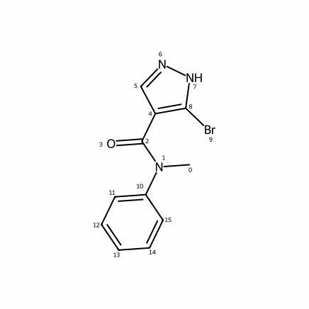 CN(C(=O)c1cn[nH]c1Br)c1ccccc1